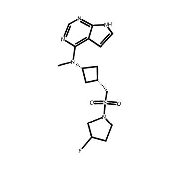 CN(c1ncnc2[nH]ccc12)[C@H]1C[C@@H](CS(=O)(=O)N2CCC(F)C2)C1